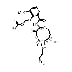 COc1ccnc(C(=O)N[C@H]2CCC[C@H](OCC(C)C)[C@@H](OCCCC(F)(F)F)[C@H](C)OC2=O)c1OCOC(=O)C(C)C